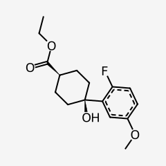 CCOC(=O)[C@H]1CC[C@](O)(c2cc(OC)ccc2F)CC1